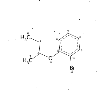 CCC(C)Oc1ccccc1Br